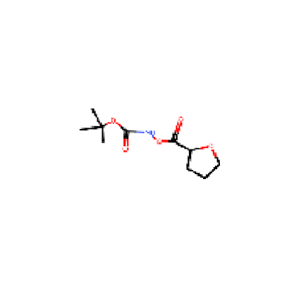 CC(C)(C)OC(=O)NOC(=O)C1CCCO1